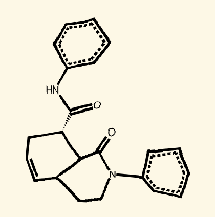 O=C(Nc1ccccc1)[C@H]1CC=CC2CCN(c3ccccc3)C(=O)C21